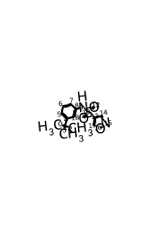 CC(C)(C)c1cccc(NS(=O)(=O)c2cnoc2)c1